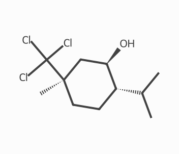 CC(C)[C@@H]1CC[C@@](C)(C(Cl)(Cl)Cl)C[C@H]1O